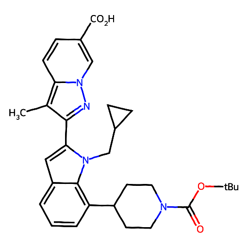 Cc1c(-c2cc3cccc(C4CCN(C(=O)OC(C)(C)C)CC4)c3n2CC2CC2)nn2cc(C(=O)O)ccc12